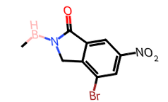 CBN1Cc2c(Br)cc([N+](=O)[O-])cc2C1=O